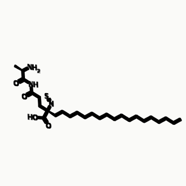 CCCCCCCCCCCCCCCCCC[C@@](CCC(=O)NC(=O)[C@@H](C)N)(N=S)C(=O)O